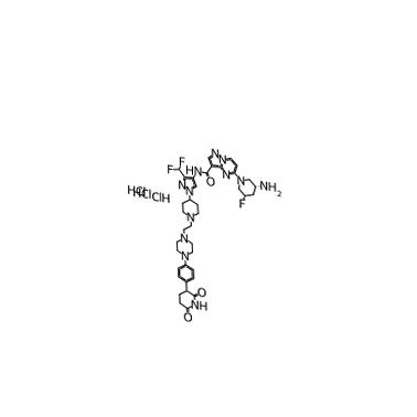 Cl.Cl.Cl.N[C@@H]1C[C@@H](F)CN(c2ccn3ncc(C(=O)Nc4cn(C5CCN(CCN6CCN(c7ccc(C8CCC(=O)NC8=O)cc7)CC6)CC5)nc4C(F)F)c3n2)C1